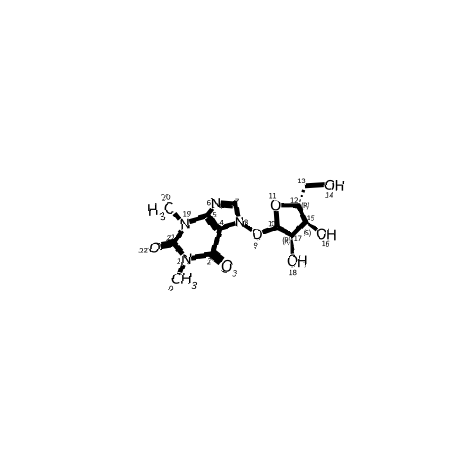 Cn1c(=O)c2c(ncn2OC2O[C@H](CO)[C@@H](O)[C@H]2O)n(C)c1=O